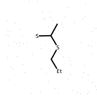 CCCSC(C)[S]